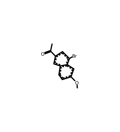 COc1ccc2cc(C(C)=O)cc(Br)c2c1